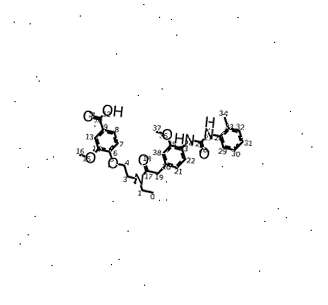 CCN(CCOc1ccc(C(=O)O)cc1OC)C(=O)Cc1ccc(NC(=O)Nc2ccccc2C)c(OC)c1